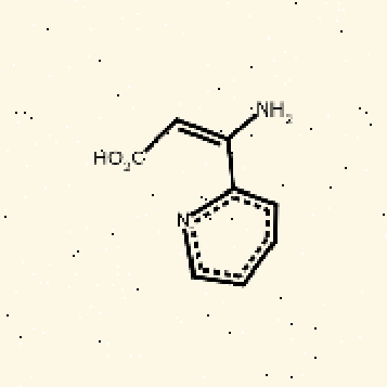 N/C(=C/C(=O)O)c1ccccn1